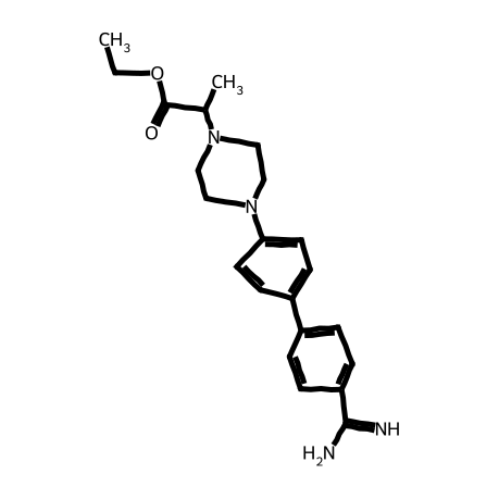 CCOC(=O)C(C)N1CCN(c2ccc(-c3ccc(C(=N)N)cc3)cc2)CC1